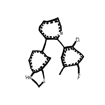 Cc1cc(-c2ncccc2-c2ccc3c(c2)SCN3)c(Cl)cc1F